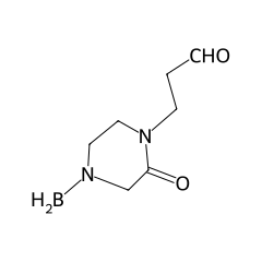 BN1CCN(CCC=O)C(=O)C1